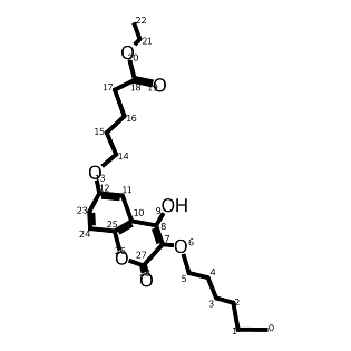 CCCCCCOc1c(O)c2cc(OCCCCC(=O)OCC)ccc2oc1=O